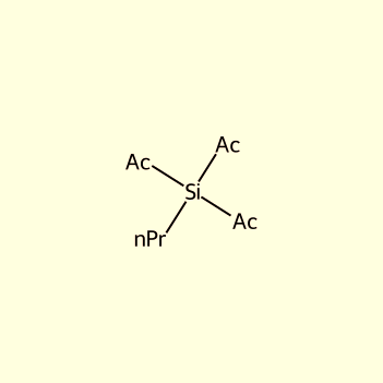 CCC[Si](C(C)=O)(C(C)=O)C(C)=O